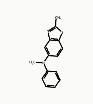 Cc1nc2cc(N(C)c3ccccc3)ccc2s1